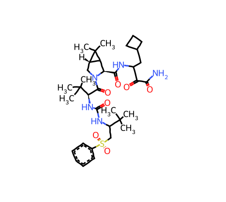 CC(C)(C)C(CS(=O)(=O)c1ccccc1)NC(=O)N[C@H](C(=O)N1C[C@H]2C([C@H]1C(=O)NC(CC1CCC1)C(=O)C(N)=O)C2(C)C)C(C)(C)C